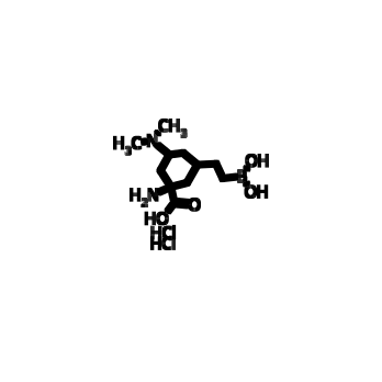 CN(C)C1CC(CCB(O)O)CC(N)(C(=O)O)C1.Cl.Cl